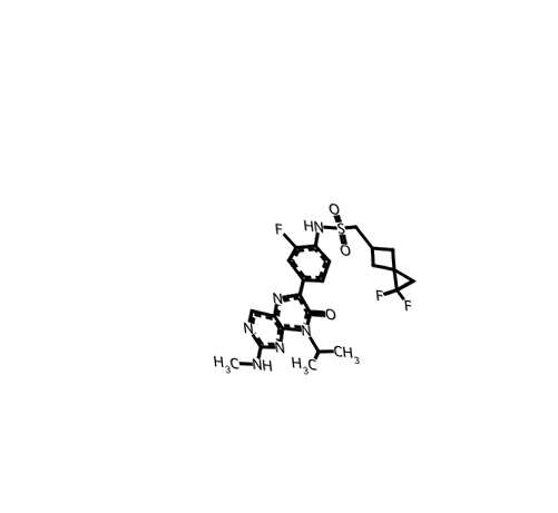 CNc1ncc2nc(-c3ccc(NS(=O)(=O)CC4CC5(C4)CC5(F)F)c(F)c3)c(=O)n(C(C)C)c2n1